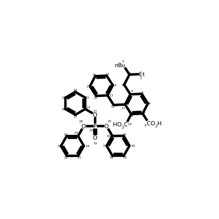 CCCCC(CC)Cc1ccc(C(=O)O)c(C(=O)O)c1Cc1ccccc1.O=P(Oc1ccccc1)(Oc1ccccc1)Oc1ccccc1